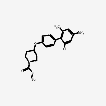 CC(C)(C)OC(=O)N1CCC(Oc2ccc(-c3c(Cl)cc(N)cc3C(F)(F)F)cc2)CC1